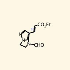 CCOC(=O)/C=C/c1cnn2c1N(C=O)CC2